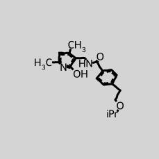 Cc1cc(C)c(CNC(=O)c2ccc(CCOC(C)C)cc2)c(O)n1